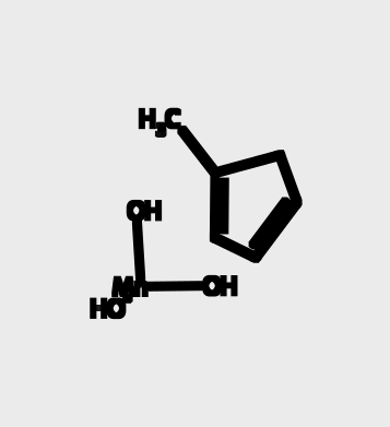 CC1=CC=CC1.[OH][Mn]([OH])[OH]